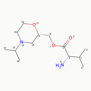 CC(C)[C@H](N)C(=O)OC[C@@H]1CN(C(C)C)CCO1